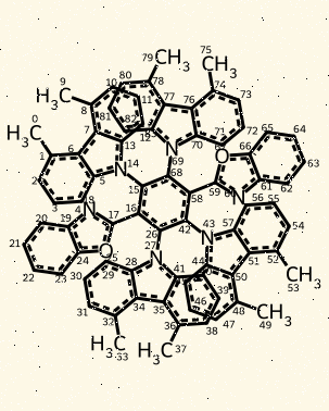 Cc1cccc2c1c1c(C)cccc1n2-c1c(-c2nc3ccccc3o2)c(-n2c3cccc(C)c3c3c(C)cccc32)c(-n2c3cccc(C)c3c3c(C)cccc32)c(-c2nc3ccccc3o2)c1-n1c2cccc(C)c2c2c(C)cccc21